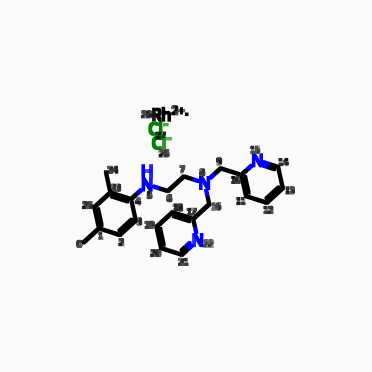 Cc1ccc(NCCN(Cc2ccccn2)Cc2ccccn2)c(C)c1.[Cl-].[Cl-].[Rh+2]